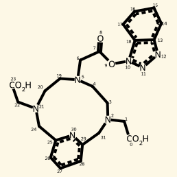 O=C(O)CN1CCN(CC(=O)On2nnc3ccccc32)CCN(CC(=O)O)Cc2cccc(n2)C1